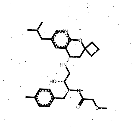 COCC(=O)N[C@@H](Cc1ccc(I)cc1)[C@H](O)CN[C@H]1CC2(CCC2)Oc2ncc(CC(C)C)cc21